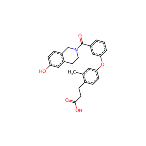 Cc1cc(Oc2cccc(C(=O)N3CCc4cc(O)ccc4C3)c2)ccc1CCC(=O)O